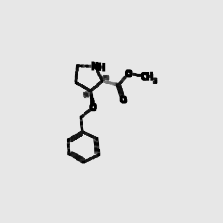 COC(=O)[C@H]1NCC[C@@H]1OCc1ccccc1